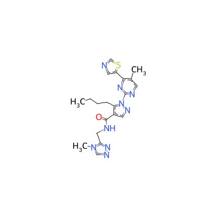 CCCCc1c(C(=O)NCc2nncn2C)cnn1-c1ncc(C)c(-c2cncs2)n1